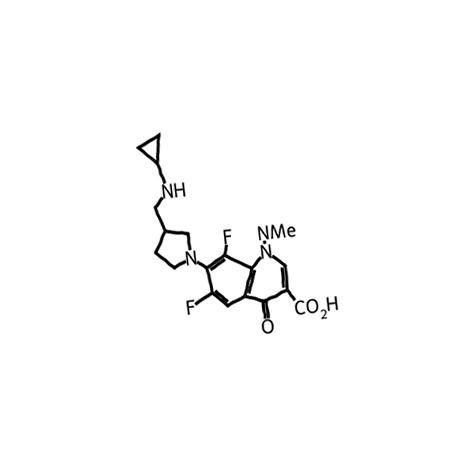 CNn1cc(C(=O)O)c(=O)c2cc(F)c(N3CCC(CNC4CC4)C3)c(F)c21